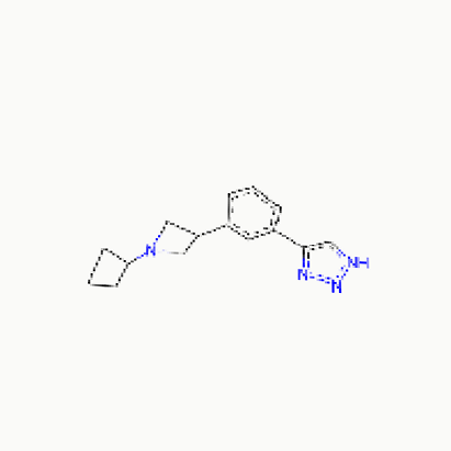 c1cc(-c2c[nH]nn2)cc(C2CN(C3CCC3)C2)c1